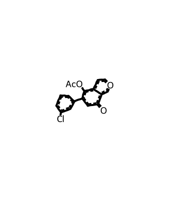 CC(=O)Oc1c(-c2cccc(Cl)c2)cc(=O)c2coccc1-2